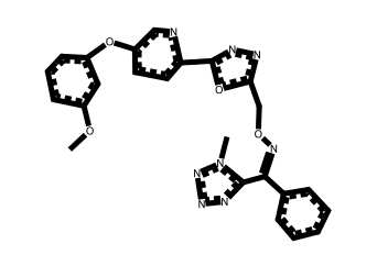 COc1cccc(Oc2ccc(-c3nnc(CO/N=C(/c4ccccc4)c4nnnn4C)o3)nc2)c1